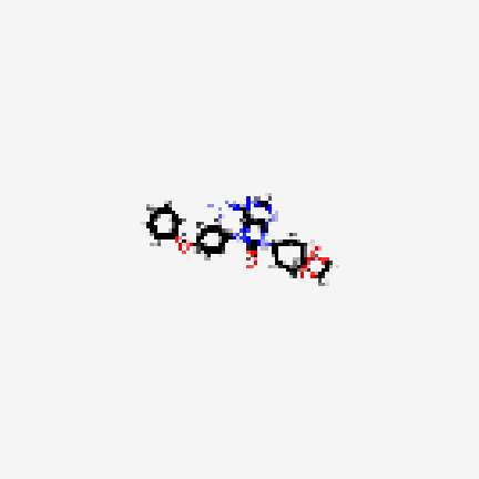 Nc1ncnc2c1n(-c1ccc(Oc3ccccc3)cc1)c(=O)n2C1CCC2(CC1)OCCO2